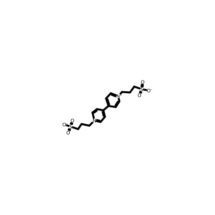 O=S(=O)([O-])CCC[n+]1ccc(-c2cc[n+](CCCS(=O)(=O)[O-])cc2)cc1